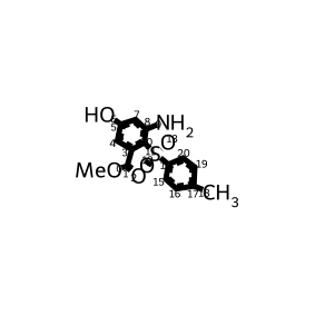 COC(=O)c1cc(O)cc(N)c1S(=O)(=O)c1ccc(C)cc1